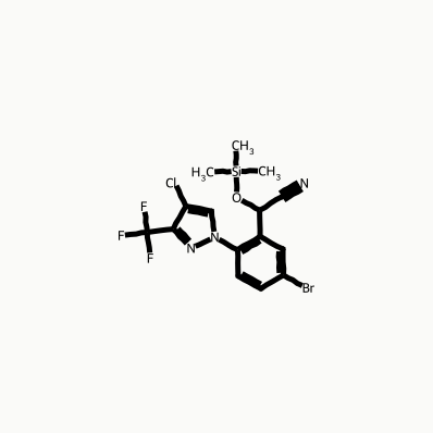 C[Si](C)(C)OC(C#N)c1cc(Br)ccc1-n1cc(Cl)c(C(F)(F)F)n1